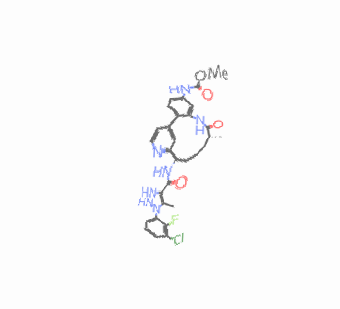 COC(=O)Nc1ccc2c(c1)NC(=O)[C@H](C)CCC[C@H](NC(=O)C1=C(C)N(c3cccc(Cl)c3F)NN1)c1cc-2ccn1